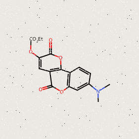 CCOC(=O)Oc1cc2c(=O)oc3cc(N(C)C)ccc3c2oc1=O